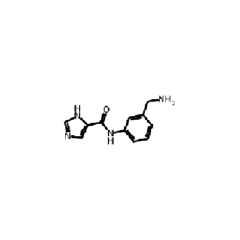 NCc1cccc(NC(=O)c2cnc[nH]2)c1